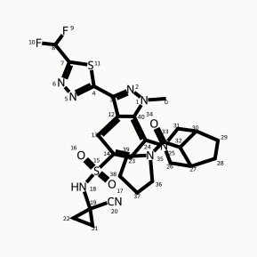 Cn1nc(-c2nnc(C(F)F)s2)c2cc(S(=O)(=O)NC3(C#N)CC3)cc(N3CC4CCC(C3)C4C(=O)N3CCCC3)c21